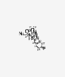 N#CCC(=O)NC1(c2nnc(Cc3ccc(F)cc3)s2)C=CC=N1